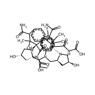 CC1(C)C(C(N)=O)c2ccc(cc2)[C@@]1(C(=O)NC(=O)O)N1C[C@@H](O)C[C@H]1[C@@H]1CC[C@@H]([C@@H]2C[C@H](O)CN2[C@]2(C(=O)NC(=O)O)c3ccc(cc3)C(C(N)=O)C2(C)C)N1c1ccc(F)cc1